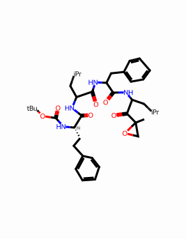 CC(C)CC(NC(=O)[C@H](CCc1ccccc1)NC(=O)OC(C)(C)C)C(=O)NC(Cc1ccccc1)C(=O)NC(CC(C)C)C(=O)C1(C)CO1